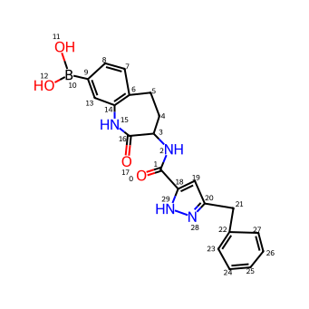 O=C(NC1CCc2ccc(B(O)O)cc2NC1=O)c1cc(Cc2ccccc2)n[nH]1